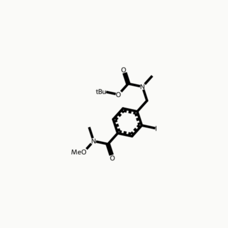 CON(C)C(=O)c1ccc(CN(C)C(=O)OC(C)(C)C)c(I)c1